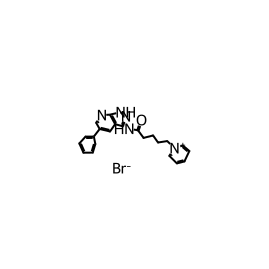 O=C(CCCC[n+]1ccccc1)Nc1n[nH]c2ncc(-c3ccccc3)cc12.[Br-]